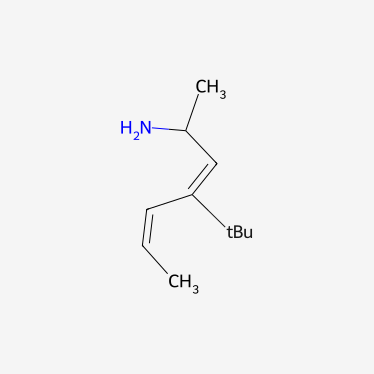 C/C=C\C(=C/C(C)N)C(C)(C)C